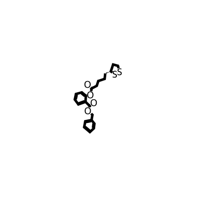 O=C(CCCC[C@@H]1CCSS1)Oc1ccccc1C(=O)OCc1ccccc1